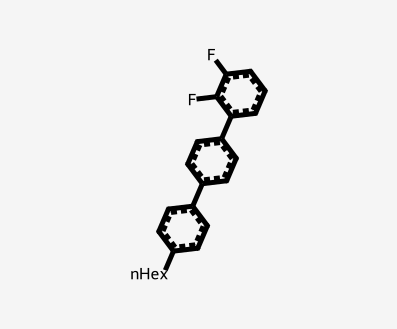 CCCCCCc1ccc(-c2ccc(-c3cccc(F)c3F)cc2)cc1